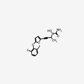 CC(C#Cc1ccc(Oc2c(F)cccc2F)o1)N(O)C(N)=O